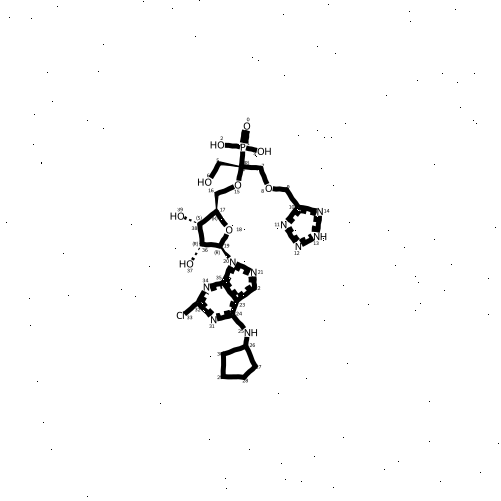 O=P(O)(O)[C@](CO)(COCc1nn[nH]n1)OC[C@H]1O[C@@H](n2ncc3c(NC4CCCC4)nc(Cl)nc32)[C@H](O)[C@@H]1O